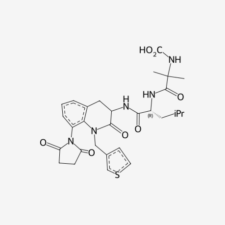 CC(C)C[C@@H](NC(=O)C(C)(C)NC(=O)O)C(=O)NC1Cc2cccc(N3C(=O)CCC3=O)c2N(Cc2ccsc2)C1=O